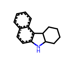 c1ccc2c3c(ccc2c1)NC1CCCCC31